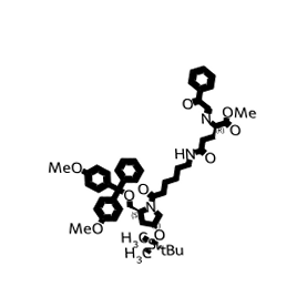 COC(=O)[C@@H](CCC(=O)NCCCCCC(=O)N1C[C@H](O[Si](C)(C)C(C)(C)C)C[C@H]1COC(c1ccccc1)(c1ccc(OC)cc1)c1ccc(OC)cc1)N=CC(=O)c1ccccc1